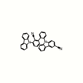 N#Cc1ccc2c(c1)c1ccccc1n2-c1ccccc1-c1cccc(-n2c3ccccc3c3ccccc32)c1C#N